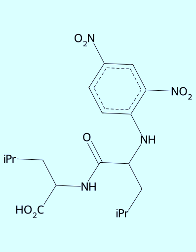 CC(C)CC(NC(=O)C(CC(C)C)Nc1ccc([N+](=O)[O-])cc1[N+](=O)[O-])C(=O)O